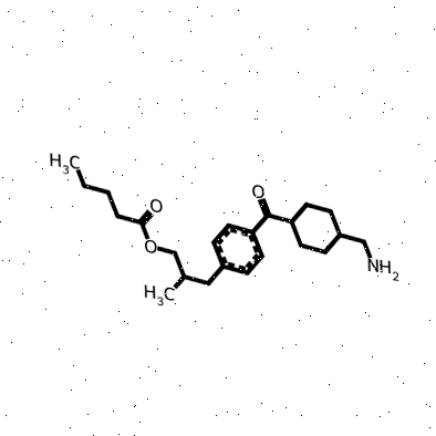 CCCCC(=O)OCC(C)Cc1ccc(C(=O)C2CCC(CN)CC2)cc1